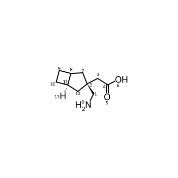 NC[C@]1(CC(=O)O)CC2CC[C@@H]2C1